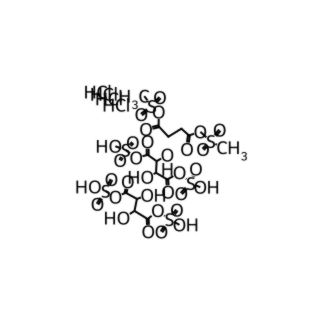 CS(=O)(=O)OC(=O)CCC(=O)OS(C)(=O)=O.Cl.Cl.Cl.Cl.O=C(OS(=O)(=O)O)C(O)C(O)C(=O)OS(=O)(=O)O.O=C(OS(=O)(=O)O)C(O)C(O)C(=O)OS(=O)(=O)O